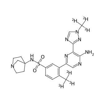 [2H]C([2H])([2H])c1ccc(S(=O)(=O)NC23CCN(CC2)C3)cc1-c1cnc(N)c(-c2ncn(C([2H])([2H])[2H])n2)n1